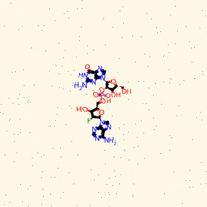 Nc1nc2c(ncn2[C@@H]2O[C@H](CO)C(O)[C@@H]2OP(=O)(O)OC[C@H]2O[C@@H](n3cnc4c(N)ncnc43)[C@@H](F)C2O)c(=O)[nH]1